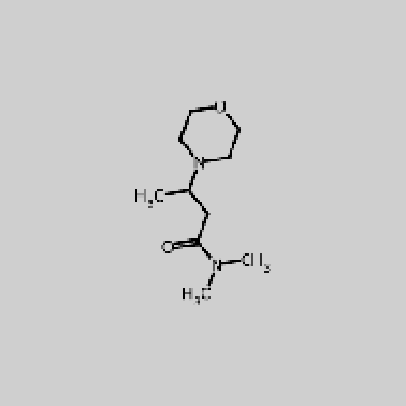 CC(CC(=O)N(C)C)N1CCOCC1